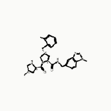 Cc1ccccc1C[C@@H]1C[C@@H](C(=O)NCc2ccc3c(c2)nnn3C)N(C(=O)[C@H]2C[C@@H](C)CN2)C1